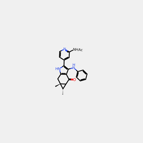 CC(=O)Nc1cc(-c2[nH]c3c(c2Nc2ccccc2)C(=O)C2[C@H](C)[C@]2(C)C3)ccn1